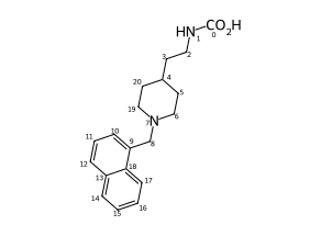 O=C(O)NCCC1CCN(Cc2cccc3ccccc23)CC1